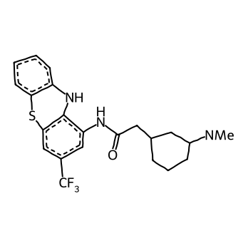 CNC1CCCC(CC(=O)Nc2cc(C(F)(F)F)cc3c2Nc2ccccc2S3)C1